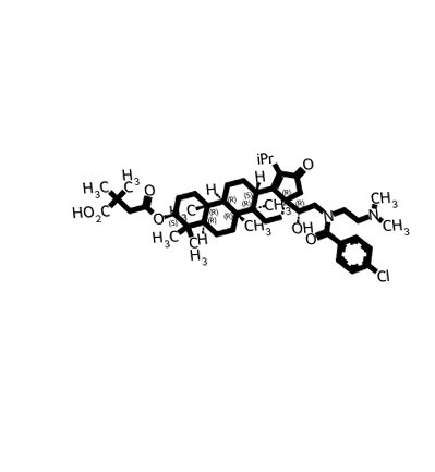 CC(C)C1=C2[C@H]3CC[C@@H]4[C@@]5(C)CC[C@H](OC(=O)CC(C)(C)C(=O)O)C(C)(C)[C@@H]5CC[C@@]4(C)[C@]3(C)CC[C@@]2([C@@H](O)CN(CCN(C)C)C(=O)c2ccc(Cl)cc2)CC1=O